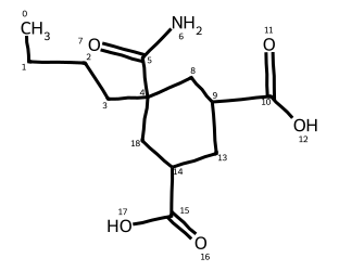 CCCCC1(C(N)=O)CC(C(=O)O)CC(C(=O)O)C1